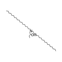 CCCCCCCCCCCCCCCCCCN(CCCCCCCCCCCCCCCCCC)CC(O)CC